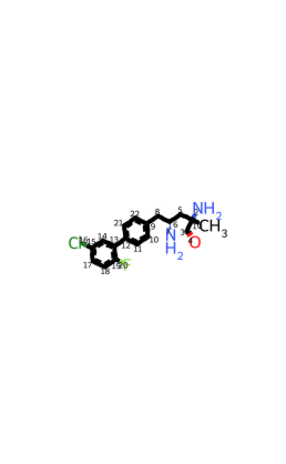 CC(N)(C=O)C[C@H](N)Cc1ccc(-c2cc(Cl)ccc2F)cc1